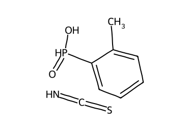 Cc1ccccc1[PH](=O)O.N=C=S